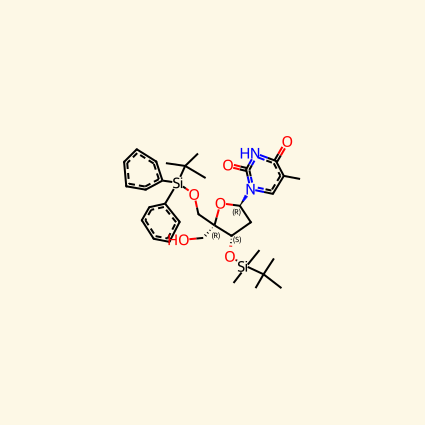 Cc1cn([C@H]2C[C@H](O[Si](C)(C)C(C)(C)C)[C@@](CO)(CO[Si](c3ccccc3)(c3ccccc3)C(C)(C)C)O2)c(=O)[nH]c1=O